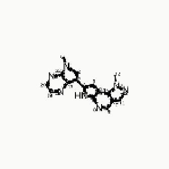 Cn1cc(-c2cc3c(ncc4cnn(C)c43)[nH]2)c2nccnc21